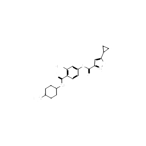 Cc1cc(NC(=O)c2cc(C3CC3)on2)ccc1C(=O)NC1CCC(N)CC1